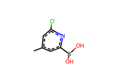 Cc1cc(Cl)nc(B(O)O)c1